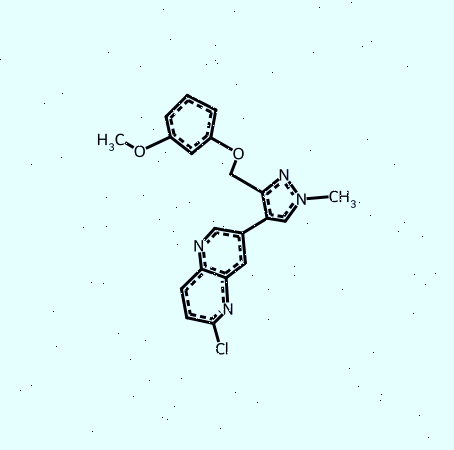 COc1cccc(OCc2nn(C)cc2-c2cnc3ccc(Cl)nc3c2)c1